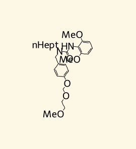 CCCCCCCN(Cc1ccc(OCOCCOC)cc1)C(=O)Nc1c(OC)cccc1OC